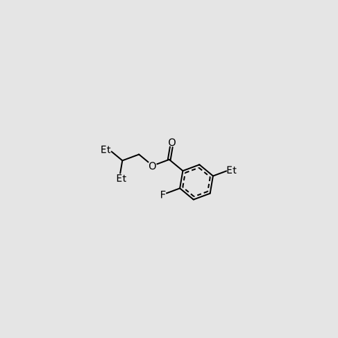 CCc1ccc(F)c(C(=O)OCC(CC)CC)c1